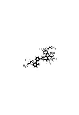 C=CCOC1(C)CCN(c2c(C(OC(C)(C)C)C(=O)OC)c(C)c(C)c3nc(-c4cccc(-c5c(O[C@@H](C)CC=C)ccc(F)c5F)c4)cn23)CC1